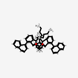 CCC[CH2][Ti]([CH3])(=[SiH2])([CH2]CCC)([c]1ccccc1)([CH]1C(CC)=Cc2c(-c3cccc4ccccc34)cccc21)[CH]1C(CC)=Cc2c(-c3cccc4ccccc34)cccc21